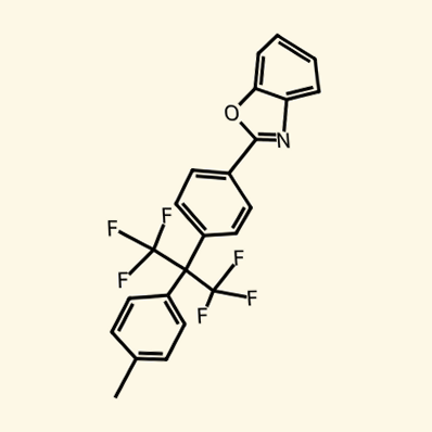 Cc1ccc(C(c2ccc(-c3nc4ccccc4o3)cc2)(C(F)(F)F)C(F)(F)F)cc1